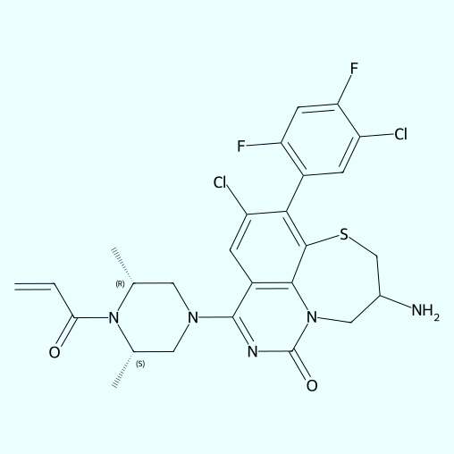 C=CC(=O)N1[C@H](C)CN(c2nc(=O)n3c4c(c(-c5cc(Cl)c(F)cc5F)c(Cl)cc24)SCC(N)C3)C[C@@H]1C